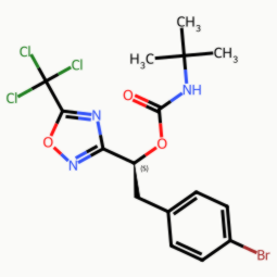 CC(C)(C)NC(=O)O[C@@H](Cc1ccc(Br)cc1)c1noc(C(Cl)(Cl)Cl)n1